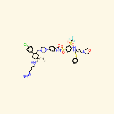 CC1(CNCCCCN=[N+]=[N-])CCC(c2ccc(Cl)cc2)=C(CN2CCN(c3ccc(C(=O)NS(=O)(=O)c4ccc(N[C@H](CCN5CCOCC5)CSc5ccccc5)c(S(=O)(=O)C(F)(F)F)c4)cc3)CC2)C1